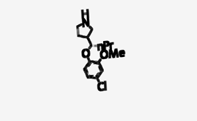 CCC[C@H](Oc1ccc(Cl)cc1OC)C1CCNC1